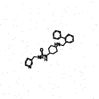 O=C(NCc1cccnc1)NC1CCC(NCc2ccccc2-c2ccccc2)CC1